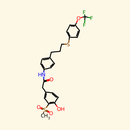 CS(=O)(=O)c1cc(CC(=O)Nc2ccc(CCCSc3ccc(OC(F)(F)F)cc3)cc2)ccc1O